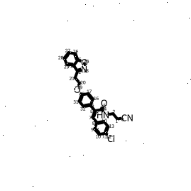 N#CCCNC(=O)C(=Cc1ccc(Cl)cc1)c1ccc(OCCc2noc3ccccc23)cc1